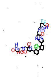 COc1nc(-c2cccc(-c3cccc(-c4ccn5c(=O)c(CNCC6CC(F)(F)C(=O)N6)cnc5c4)c3Cl)c2Cl)ccc1CN(C[C@@H]1CCC(=O)N1)C(=O)O